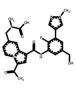 CC(=O)c1cc(C(=O)Nc2cc(CO)cc(-c3cnn(C)c3)c2F)c2cc(CN(C)C(=O)O)ccn12